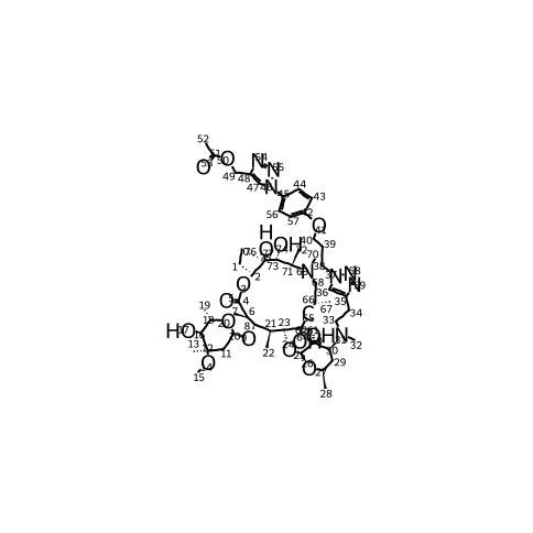 CC[C@H]1OC(=O)[C@H](C)[C@@H](O[C@H]2C[C@@](C)(OC)[C@@H](O)[C@H](C)O2)[C@H](C)[C@@H](O[C@@H]2O[C@H](C)C[C@H](N(C)CCc3cn(CCCOc4ccc(-n5cc(COC(C)=O)nn5)cc4)nn3)[C@H]2O)[C@](C)(O)C[C@@H](C)CN(C)[C@H](C)[C@@H](O)[C@]1(C)O